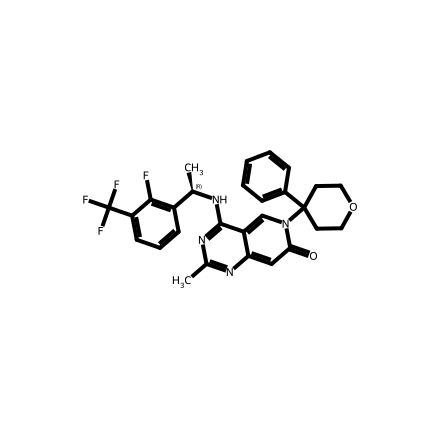 Cc1nc(N[C@H](C)c2cccc(C(F)(F)F)c2F)c2cn(C3(c4ccccc4)CCOCC3)c(=O)cc2n1